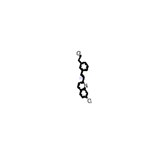 O=CCc1cccc(/C=C/c2ccc3ccc(Cl)cc3n2)c1